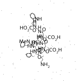 CN[C@@H](Cc1ccccc1)C(=O)N[C@@H](CS)C(=O)N[C@@H](Cc1ccccc1)C(=O)N[C@@H](CCCCN)C(=O)N[C@@H](CCC(=O)O)C(=O)N[C@@H](CC(C)C)C(=O)N[C@@H](CCC(=O)O)C(=O)NCC(=O)N[C@@H](Cc1c[nH]c2ccccc12)C(=O)O